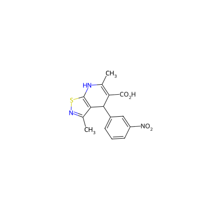 CC1=C(C(=O)O)C(c2cccc([N+](=O)[O-])c2)c2c(C)nsc2N1